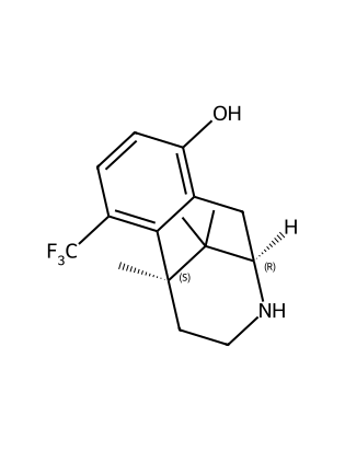 CC1(C)[C@H]2Cc3c(O)ccc(C(F)(F)F)c3[C@]1(C)CCN2